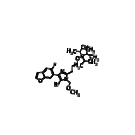 COCn1c(CCCO[Si](C(C)C)(C(C)C)C(C)C)nc(-c2cc3occc3cc2F)c1Br